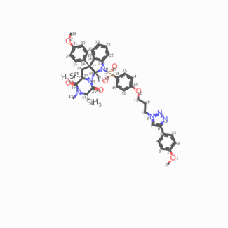 COc1ccc(-c2cn(CCCOc3ccc(S(=O)(=O)N4c5ccccc5[C@@]5(c6ccc(OC)cc6)C[C@]6([SiH3])C(=O)N(C)[C@@H]([SiH3])C(=O)N6[C@@H]45)cc3)nn2)cc1